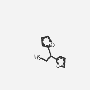 SCC(c1ccco1)c1ccco1